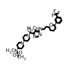 Cc1c(NCCC2CCC[C@H](c3cccc(C(F)(F)F)c3)O2)ncnc1C(=O)N1CCC(N2CCC(N(C)S(C)(=O)=O)CC2)CC1